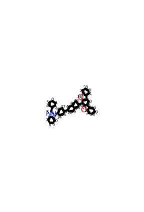 c1ccc(-c2nc3ccccc3n2-c2ccc(-c3ccc4cc(-c5c6oc7ccccc7c6cc6c5oc5ccccc56)ccc4c3)cc2)cc1